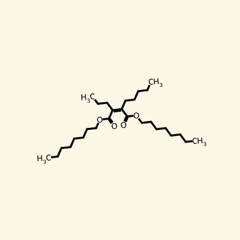 CCCCCCCCOC(=O)/C(CCC)=C(/CCCCC)C(=O)OCCCCCCCC